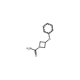 NC(=O)N1CC(Oc2ccccc2)C1